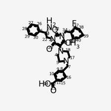 Cc1c(N2CCN(Cc3ccc(C(=O)O)cc3)CC2)c(=O)n(C[C@@H](N)c2ccccc2)c(=O)n1Cc1c(F)cccc1F